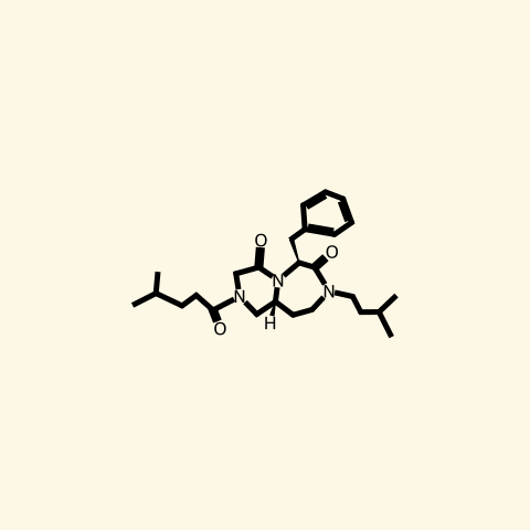 CC(C)CCC(=O)N1CC(=O)N2[C@H](CCN(CCC(C)C)C(=O)[C@@H]2Cc2ccccc2)C1